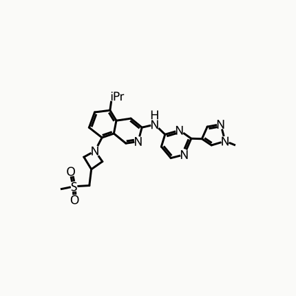 CC(C)c1ccc(N2CC(CS(C)(=O)=O)C2)c2cnc(Nc3ccnc(-c4cnn(C)c4)n3)cc12